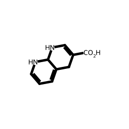 O=C(O)C1=CNC2NC=CC=C2C1